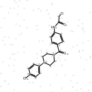 O=C(CCl)Nc1ccc(C(=O)N2CCN(c3ccc(Cl)cc3)CC2)cc1